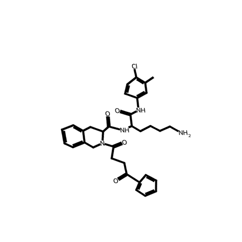 Cc1cc(NC(=O)C(CCCCN)NC(=O)C2Cc3ccccc3CN2C(=O)CCC(=O)c2ccccc2)ccc1Cl